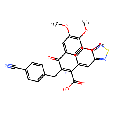 COc1cc(C(=O)/C(Cc2ccc(C#N)cc2)=C(/C(=O)O)c2ccc3nsnc3c2)cc(OC)c1OC